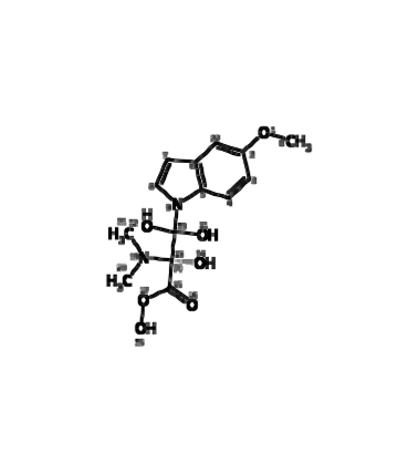 COc1ccc2c(ccn2C(O)(O)[C@@](O)(C(=O)OO)N(C)C)c1